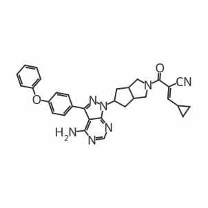 N#CC(=CC1CC1)C(=O)N1CC2CC(n3nc(-c4ccc(Oc5ccccc5)cc4)c4c(N)ncnc43)CC2C1